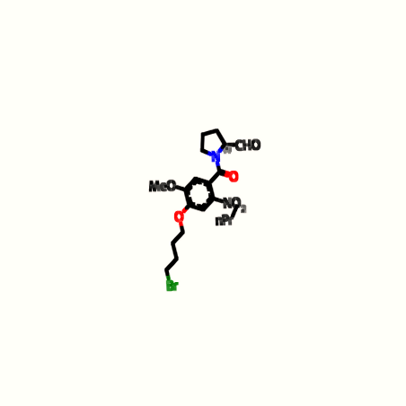 CCCC.COc1cc(C(=O)N2CCC[C@H]2C=O)c([N+](=O)[O-])cc1OCCCCBr